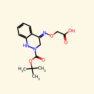 CC(C)(C)OC(=O)N1CC(=NOCC(=O)O)c2ccccc2N1